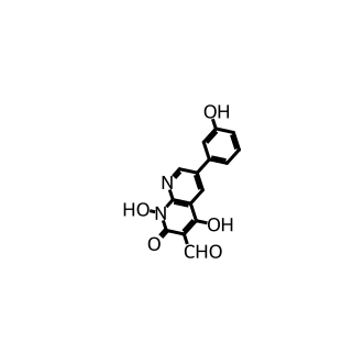 O=Cc1c(O)c2cc(-c3cccc(O)c3)cnc2n(O)c1=O